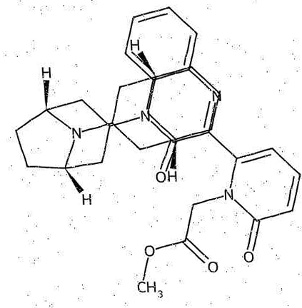 COC(=O)Cn1c(-c2nc3ccccc3n(C3C[C@H]4CC[C@@H](C3)N4C3C[C@H]4CCC[C@@H](C3)C4)c2=O)cccc1=O